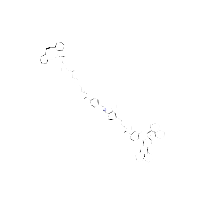 O=C(CCOCCNC(=O)c1ccc(/N=N/c2ccc(CCNC(=O)c3ccc(C4=c5cc6c7c(c5Oc5c4cc4c8c5CCCN8CCC4)CCC[N+]=7CCC6)c(C(=O)O)c3)cc2O)cc1)NCCC(=O)N1Cc2ccccc2C#Cc2ccccc21